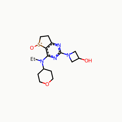 CCN(c1nc(N2CC(O)C2)nc2c1[S+]([O-])CC2)C1CCOCC1